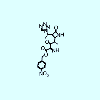 C[C@H](C1C(=O)NC1[C@@H](C)C(=O)C(=N)C(=O)OCc1ccc([N+](=O)[O-])cc1)n1cnnn1